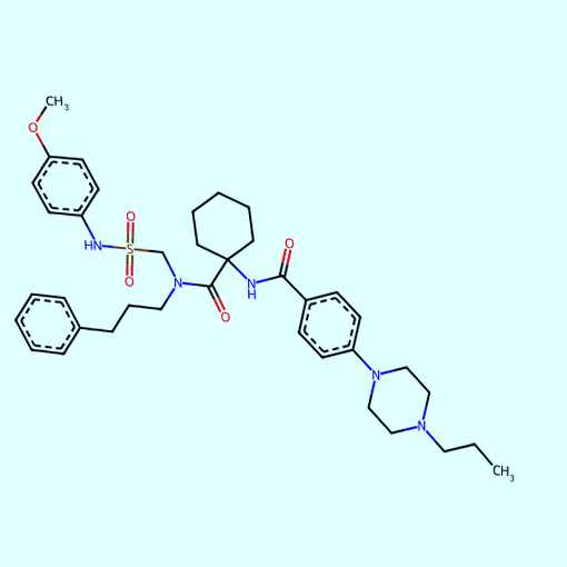 CCCN1CCN(c2ccc(C(=O)NC3(C(=O)N(CCCc4ccccc4)CS(=O)(=O)Nc4ccc(OC)cc4)CCCCC3)cc2)CC1